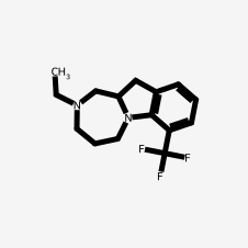 CCN1CCCN2c3c(cccc3C(F)(F)F)CC2C1